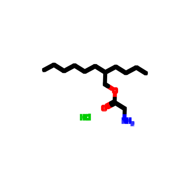 CCCCCCC(CCCC)COC(=O)CN.Cl